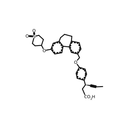 CC#C[C@@H](CC(=O)O)c1ccc(OCc2ccc3c(c2)-c2ccc(OC4CCS(=O)(=O)CC4)cc2CCC3)cc1